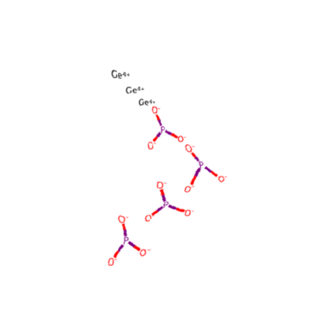 [Ge+4].[Ge+4].[Ge+4].[O-]P([O-])[O-].[O-]P([O-])[O-].[O-]P([O-])[O-].[O-]P([O-])[O-]